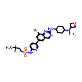 CC(C)c1cc(-c2ccc(NS(=O)(=O)CCC(C)(F)F)nc2)cc2cnc(NC3CCC(N(C)C4COC4)CC3)nc12